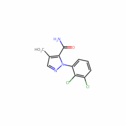 NC(=O)c1c(C(=O)O)cnn1-c1cccc(Cl)c1Cl